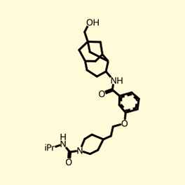 CC(C)NC(=O)N1CCC(CCOc2cccc(C(=O)NC3CCC4CC5CC(CO)(C4)CC53)c2)CC1